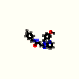 COc1ccc(Cn2c(CCC(=O)NCc3ccc(C)cc3)nc3cccnc32)cc1